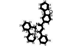 c1ccc(-c2cc(-c3ccc4oc5ccccc5c4c3)nc(-c3ccccc3-c3ccccn3)n2)cc1